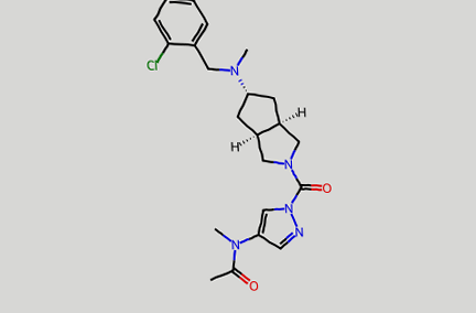 CC(=O)N(C)c1cnn(C(=O)N2C[C@H]3C[C@H](N(C)Cc4ccccc4Cl)C[C@H]3C2)c1